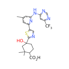 Cc1cc(Nc2cc(C(F)(F)F)ncn2)nc(-c2cnc(C3(O)CCC(C(=O)O)C(C)(C)C3)s2)c1